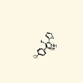 FC1=C(c2ccc(Cl)cc2)NNC1c1cccs1